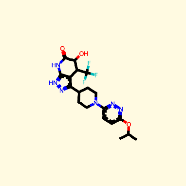 CC(C)Oc1ccc(N2CCC(c3n[nH]c4c3C(C(F)(F)F)C(O)C(=O)N4)CC2)nn1